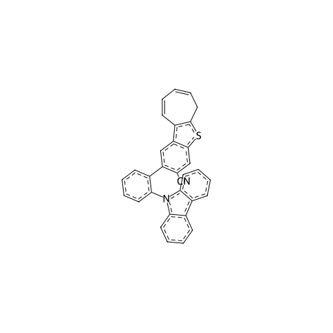 N#Cc1cc2sc3c(c2cc1-c1ccccc1-n1c2ccccc2c2ccccc21)C=CC=CC3